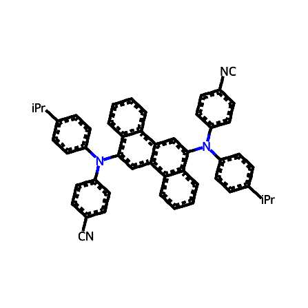 [C-]#[N+]c1ccc(N(c2ccc(C(C)C)cc2)c2cc3c4ccccc4c(N(c4ccc(C#N)cc4)c4ccc(C(C)C)cc4)cc3c3ccccc23)cc1